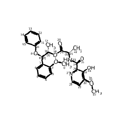 COc1ccccc1[C@@H](Oc1ccccc1)[C@H](C)OC(=O)[C@H](C)NC(=O)c1nccc(OC)c1O